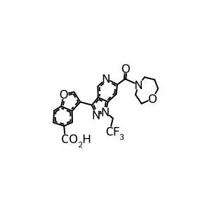 O=C(O)c1ccc2occ(-c3nn(CC(F)(F)F)c4cc(C(=O)N5CCCOCC5)ncc34)c2c1